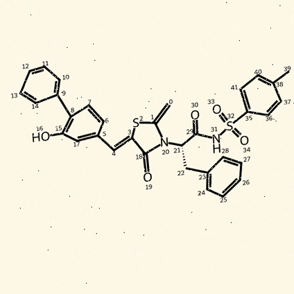 C=c1s/c(=C\c2ccc(-c3ccccc3)c(O)c2)c(=O)n1[C@@H](Cc1ccccc1)C(=O)NS(=O)(=O)c1ccc(C)cc1